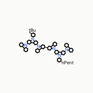 CCCCCc1cccc(-n2c3ccc(-n4c5ccccc5c5ccccc54)cc3c3cc(-n4c5ccccc5c5cc(-c6ccc7c(c6)c6ccccc6n7-c6ccc7c(c6)c6cc(-n8c9ccccc9c9ccccc98)ccc6n7-c6cccc(CC(C)(C)C)c6)ccc54)ccc32)c1